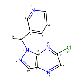 CC(c1cccnc1)n1ncc2ncc(Cl)nc21